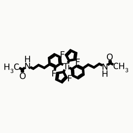 CC(=O)NCCCc1ccc(F)[c]([Ti]([c]2c(F)ccc(CCCNC(C)=O)c2F)([CH]2C=CC=C2)[CH]2C=CC=C2)c1F